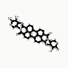 O=c1c2ccc3c4ccc5c6c(ccc(c7ccc(c2c37)c2nc3c(F)c(F)ncc3n12)c46)c(=O)n1c2cnc(F)c(F)c2nc51